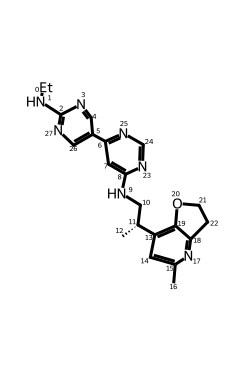 CCNc1ncc(-c2cc(NC[C@@H](C)c3cc(C)nc4c3OCC4)ncn2)cn1